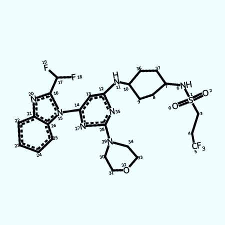 O=S(=O)(CCC(F)(F)F)NC1CCC(Nc2cc(-n3c(C(F)F)nc4ccccc43)nc(N3CCOCC3)n2)CC1